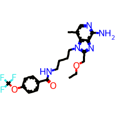 CCOCc1nc2c(N)ncc(C)c2n1CCCCNC(=O)c1ccc(OC(F)(F)F)cc1